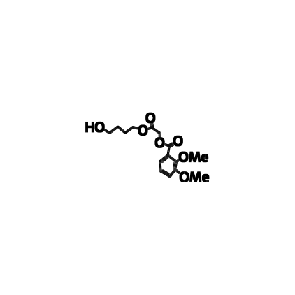 COc1cccc(C(=O)OCC(=O)OCCCCO)c1OC